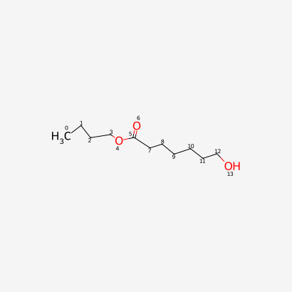 CCCCOC(=O)CCCCCCO